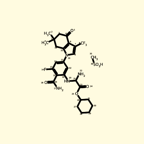 CC1(C)CC(=O)c2c(C(F)(F)F)cn(-c3cc(F)c(C(N)=O)c(NC(N)C(=O)OC4CCCCC4)c3)c2C1.CS(=O)(=O)O